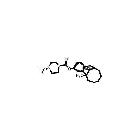 CN1CCN(C(=O)Oc2ccc3c(c2)[C@@]2(C)CCCCCC(C3)[C@@H]2N)CC1